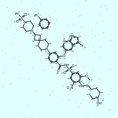 CC(C)c1ccccc1[C@H]1CN(S(=O)(=O)C(C)C)CCN1C1CC2(CCN(c3ccc(C(=O)NS(=O)(=O)c4cc5c(c([N+](=O)[O-])c4)N[C@@H]([C@H]4CC[C@](C)(O)CC4)CO5)c(Oc4cnc5[nH]cc(F)c5c4)c3)CC2)C1